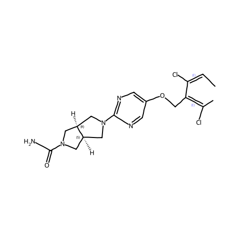 C/C=C(Cl)\C(COc1cnc(N2C[C@H]3CN(C(N)=O)C[C@H]3C2)nc1)=C(/C)Cl